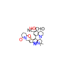 CC1(C)C[C@H](N2CCCc3cc(C#N)cc(-c4ccnc5cc(CN6C(=O)CCCC6=O)sc45)c32)CN1.O=CO